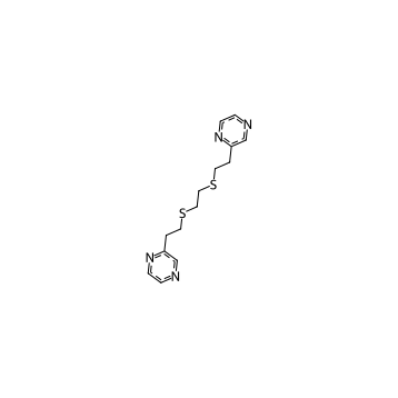 c1cnc(CCSCCSCCc2cnccn2)cn1